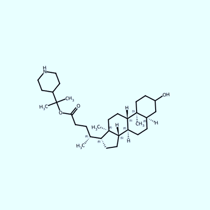 C[C@H](CCC(=O)OC(C)(C)C1CCNCC1)[C@H]1CC[C@H]2[C@@H]3CC[C@@H]4CC(O)CC[C@]4(C)[C@H]3CC[C@]12C